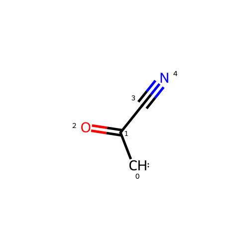 [CH]C(=O)C#N